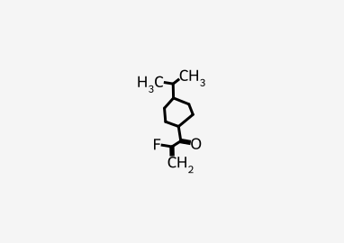 C=C(F)C(=O)C1CCC(C(C)C)CC1